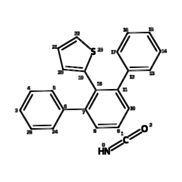 N=C=O.c1ccc(-c2cccc(-c3ccccc3)c2-c2cccs2)cc1